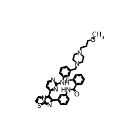 COCCCN1CCN(Cc2cccc(Nc3nccc(-c4c(-c5cccc(NC(=O)c6ccccc6F)c5)nc5sccn45)n3)c2)CC1